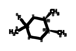 C[C@@H]1CCC(C)(F)C[C@@H]1C